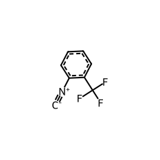 [C-]#[N+]c1ccccc1C(F)(F)F